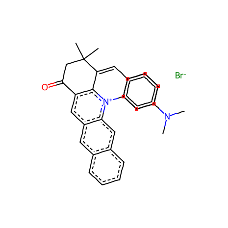 CN(C)c1ccc(/C=C2\c3c(cc4cc5ccccc5cc4[n+]3-c3ccccc3)C(=O)CC2(C)C)cc1.[Br-]